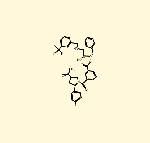 CC(=O)C1CC(c2ccc(F)cc2)N(C(=O)c2cccc(C(=O)N[C@@H](Cc3ccccc3)[C@@H](O)CNCc3cccc(C(F)(F)F)c3)c2)C1